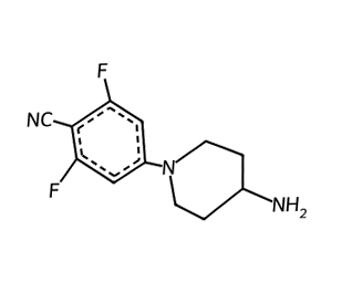 N#Cc1c(F)cc(N2CCC(N)CC2)cc1F